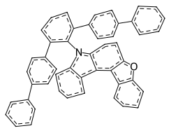 c1ccc(-c2ccc(-c3cccc(-c4ccc(-c5ccccc5)cc4)c3-n3c4ccccc4c4c5c(ccc43)oc3ccccc35)cc2)cc1